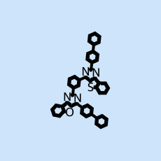 c1ccc(-c2ccc(-c3nc(-c4cccc(-c5nc(-c6ccc(-c7ccccc7)cc6)c6oc7ccccc7c6n5)c4)c4sc5ccccc5c4n3)cc2)cc1